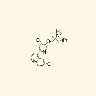 CC(C)CC(C)(N)COc1cnc(-c2ccnc3ccc(Cl)cc23)cc1Cl